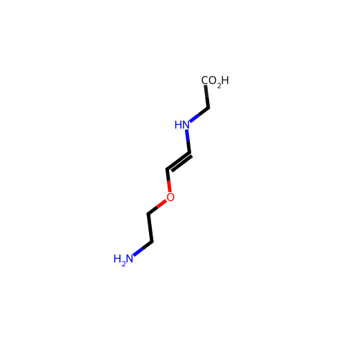 NCCOC=CNCC(=O)O